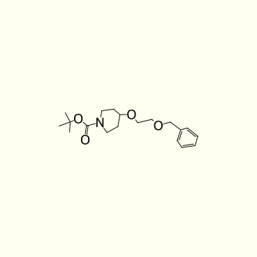 CC(C)(C)OC(=O)N1CCC(OCCOCc2ccccc2)CC1